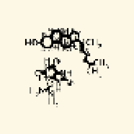 CC(C)CCC[C@@H](C)[C@H]1CC[C@H]2[C@@H]3CC=C4C[C@@H](O)CC[C@]4(C)[C@H]3CC[C@]12C.NC(N)=O.O=c1[nH]c(=O)c2[nH]c(=O)[nH]c2[nH]1